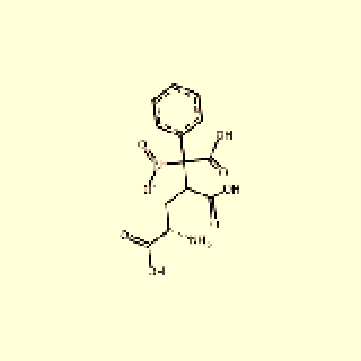 N[C@@H](CC(C(=O)O)C(C(=O)O)(c1ccccc1)[N+](=O)[O-])C(=O)O